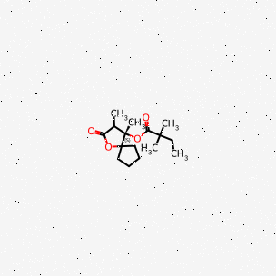 CCC(C)(C)C(=O)O[C@@]1(C)C(C)C(=O)OC12CCCC2